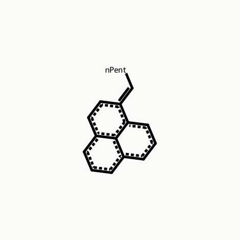 CCCCCC=c1ccc2cccc3cccc1c32